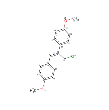 COc1ccc(/C=C(\CCl)c2ccc(OC)cc2)cc1